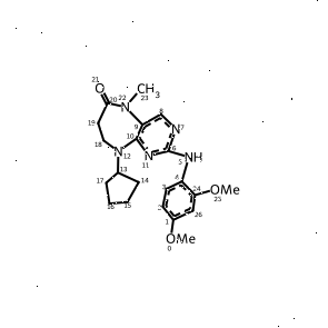 COc1ccc(Nc2ncc3c(n2)N(C2CCCC2)CCC(=O)N3C)c(OC)c1